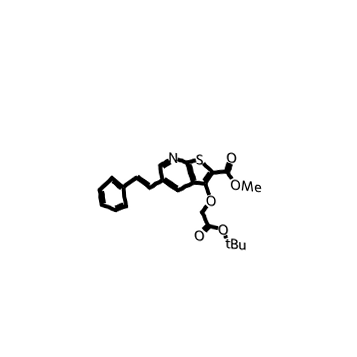 COC(=O)c1sc2ncc(C=Cc3ccccc3)cc2c1OCC(=O)OC(C)(C)C